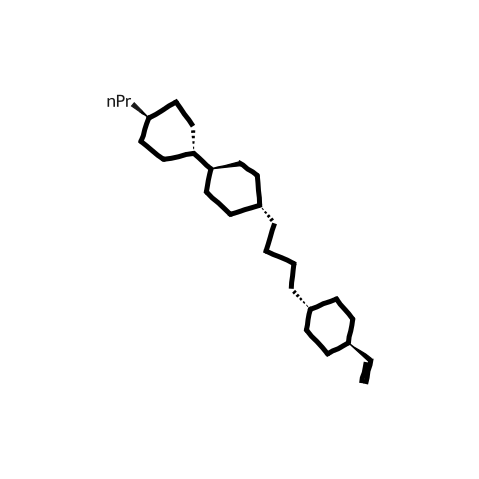 C=C[C@H]1CC[C@H](CCCC[C@H]2CC[C@H]([C@H]3CC[C@H](CCC)CC3)CC2)CC1